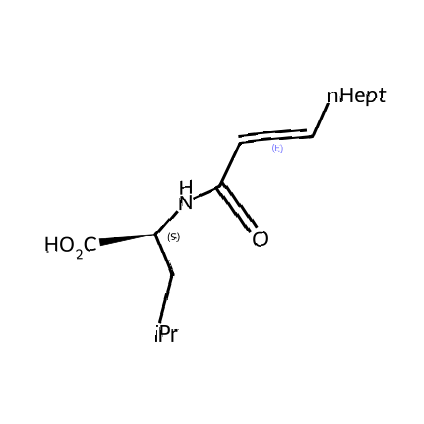 CCCCCCC/C=C/C(=O)N[C@@H](CC(C)C)C(=O)O